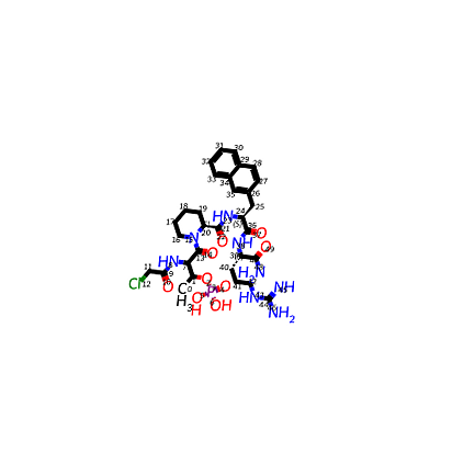 CC(OP(=O)(O)O)C(NC(=O)CCl)C(=O)N1CCCC[C@H]1C(=O)N[C@@H](Cc1ccc2ccccc2c1)C(=O)N[C@@H](CCCNC(=N)N)C(N)=O